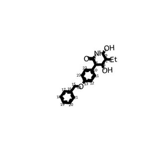 CCC(CO)C(O)C(C(N)=O)c1ccc(OCc2ccccc2)cc1